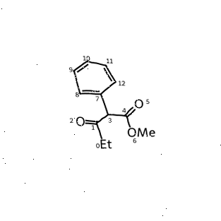 CCC(=O)C(C(=O)OC)c1ccccc1